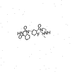 CC[C@@H]1CN(C(=O)c2cc(Cn3c(=O)[nH]c(=O)c4ccccc43)ccc2F)CCN1